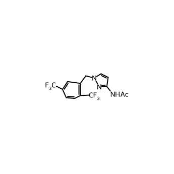 CC(=O)Nc1ccn(Cc2cc(C(F)(F)F)ccc2C(F)(F)F)n1